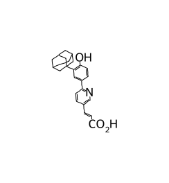 O=C(O)/C=C/c1ccc(-c2ccc(O)c(C34CC5CC(CC(C5)C3)C4)c2)nc1